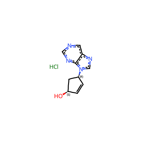 Cl.O[C@@H]1C=C[C@H](n2cnc3cncnc32)C1